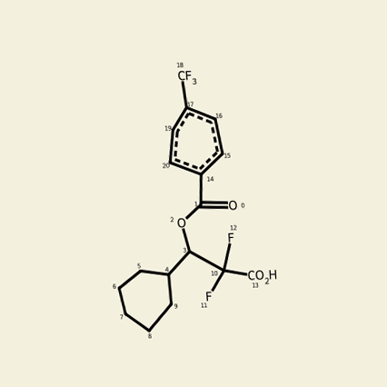 O=C(OC(C1CCCCC1)C(F)(F)C(=O)O)c1ccc(C(F)(F)F)cc1